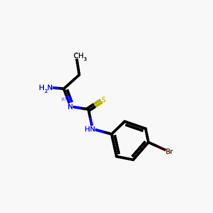 CC/C(N)=N\C(=S)Nc1ccc(Br)cc1